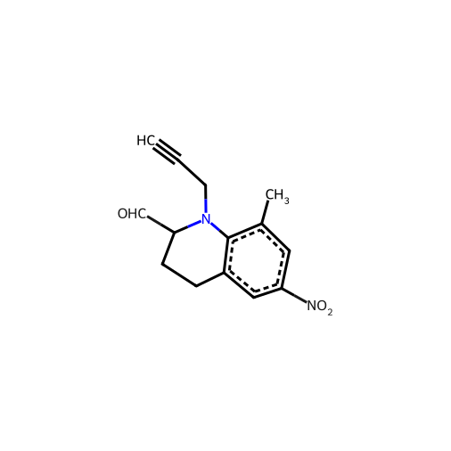 C#CCN1c2c(C)cc([N+](=O)[O-])cc2CCC1C=O